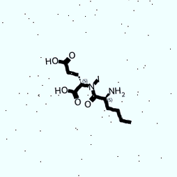 CCCC[C@H](N)C(=O)N(I)[C@@H](CCC(=O)O)C(=O)O